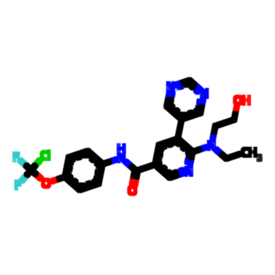 CCN(CCO)c1ncc(C(=O)Nc2ccc(OC(F)(F)Cl)cc2)cc1-c1cncnc1